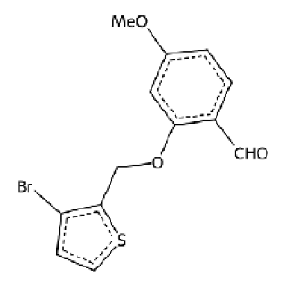 COc1ccc(C=O)c(OCc2sccc2Br)c1